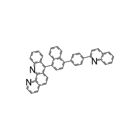 c1ccc2nc(-c3ccc(-c4ccc(-c5c6ccccc6nc6c5ccc5cccnc56)c5ccccc45)cc3)ccc2c1